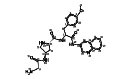 COc1ccc(CC(NC(=O)[C@@H]2C[C@@H](NC(=O)CN)CN2)C(=O)Nc2cnc3ccccc3c2)cc1